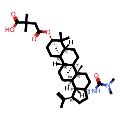 C=C(C)[C@@H]1CC[C@]2(NC(=O)N(C)C)CC[C@]3(C)[C@H](CC[C@@H]4[C@@]5(C)CC[C@H](OC(=O)CC(C)(C)C(=O)O)C(C)(C)[C@@H]5CC[C@]43C)[C@@H]12